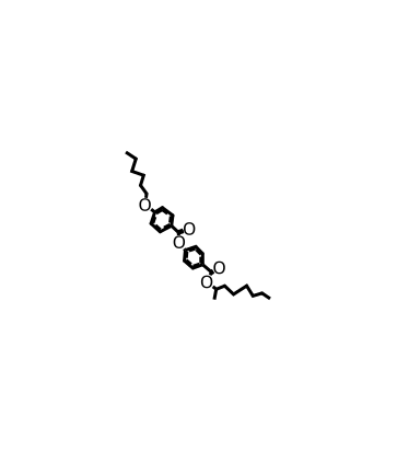 CCCCCCOc1ccc(C(=O)Oc2ccc(C(=O)OC(C)CCCCCC)cc2)cc1